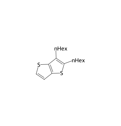 CCCCCCc1sc2ccsc2c1CCCCCC